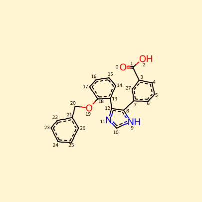 O=C(O)c1cccc(-c2[nH]cnc2-c2ccccc2OCc2ccccc2)c1